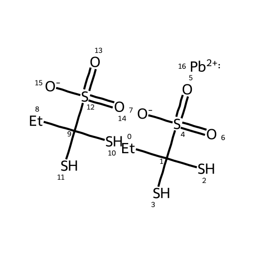 CCC(S)(S)S(=O)(=O)[O-].CCC(S)(S)S(=O)(=O)[O-].[Pb+2]